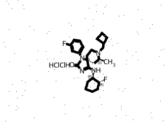 C[C@H]1C[C@]2(CCN1CC1CCC1)C(N[C@@H]1CCCC[C@H]1F)=NC(=O)N2c1cccc(F)c1.Cl.Cl